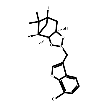 CC1(C)[C@@H]2C[C@H]3OB(Cc4coc5c(Cl)cccc45)O[C@@]3(C)[C@H]1C2